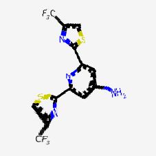 Nc1cc(-c2nc(C(F)(F)F)cs2)nc(-c2nc(C(F)(F)F)cs2)c1